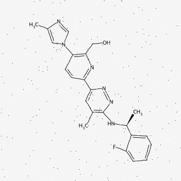 Cc1cn(-c2ccc(-c3cc(C)c(N[C@@H](C)c4ccccc4F)nn3)nc2CO)cn1